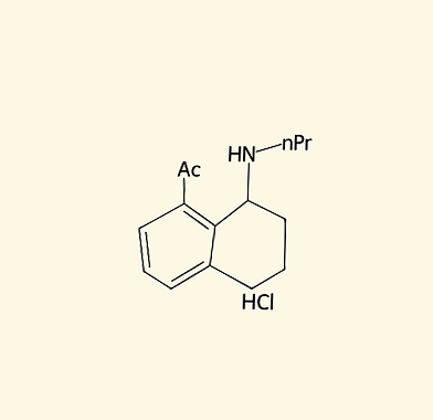 CCCNC1CCCc2cccc(C(C)=O)c21.Cl